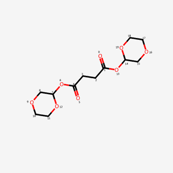 O=C(CCC(=O)OC1COCCO1)OC1COCCO1